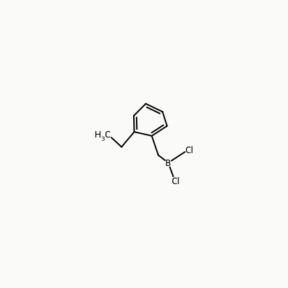 CCc1ccccc1CB(Cl)Cl